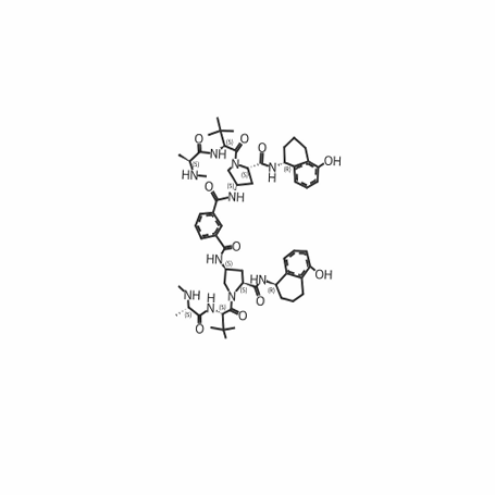 CN[C@@H](C)C(=O)N[C@H](C(=O)N1C[C@@H](NC(=O)c2cccc(C(=O)N[C@H]3C[C@@H](C(=O)N[C@@H]4CCCc5c(O)cccc54)N(C(=O)[C@@H](NC(=O)[C@H](C)NC)C(C)(C)C)C3)c2)C[C@H]1C(=O)N[C@@H]1CCCc2c(O)cccc21)C(C)(C)C